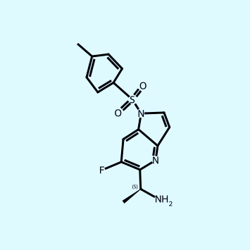 Cc1ccc(S(=O)(=O)n2ccc3nc([C@H](C)N)c(F)cc32)cc1